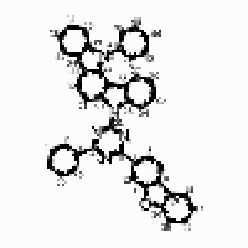 c1ccc(-c2nc(-c3ccc4c(c3)oc3ccccc34)nc(-n3c4ccccc4c4c3ccc3c5ccccc5n(-c5ccccc5)c34)n2)cc1